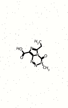 CCc1nc(C(=O)O)c2nnn(C)c(=O)n12